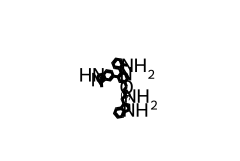 Cc1n[nH]c2ccc(-c3cc(OC[C@@H](N)Cc4c[nH]c5ccccc45)cnc3-c3ccccc3N)cc12